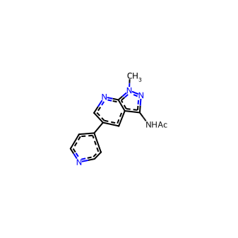 CC(=O)Nc1nn(C)c2ncc(-c3ccncc3)cc12